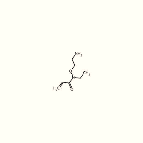 C=CC(=O)N(CC)OCCN